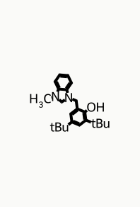 CN1CN(Cc2cc(C(C)(C)C)cc(C(C)(C)C)c2O)c2ccccc21